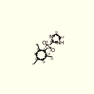 Cc1cc(C)c(S(=O)(=O)c2ncc[nH]2)c(C)c1